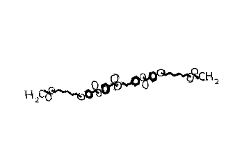 C=CC(=O)OCCCCCCOc1ccc(C(=O)Oc2ccc(CCOC(=O)c3ccc(OC(=O)c4ccc(OCCCCCCOC(=O)C=C)cc4)cc3)cc2)cc1